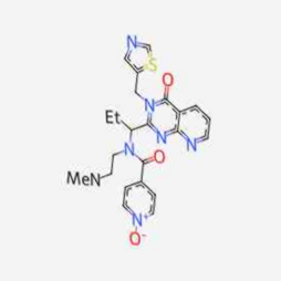 CCC(c1nc2ncccc2c(=O)n1Cc1cncs1)N(CCNC)C(=O)c1cc[n+]([O-])cc1